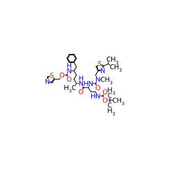 CC(CCC(Cc1ccccc1)NC(=O)OCc1cncs1)NC(=O)C(CCNC(=O)OC(C)(C)C)NC(=O)N(C)Cc1csc(C(C)C)n1